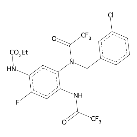 CCOC(=O)Nc1cc(N(Cc2cccc(Cl)c2)C(=O)C(F)(F)F)c(NC(=O)C(F)(F)F)cc1F